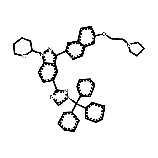 c1ccc(C(c2ccccc2)(c2ccccc2)n2cnc(-c3ccc4c(c3)c(-c3ccc5cc(OCCN6CCCC6)ccc5c3)nn4C3CCCCO3)n2)cc1